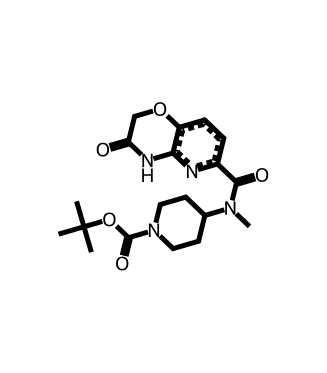 CN(C(=O)c1ccc2c(n1)NC(=O)CO2)C1CCN(C(=O)OC(C)(C)C)CC1